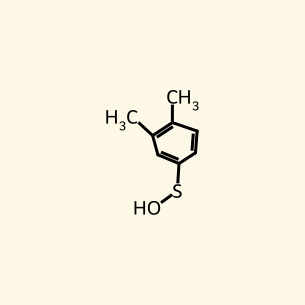 Cc1ccc(SO)cc1C